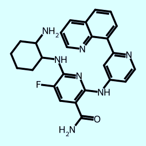 NC(=O)c1cc(F)c(NC2CCCCC2N)nc1Nc1ccnc(-c2cccc3cccnc23)c1